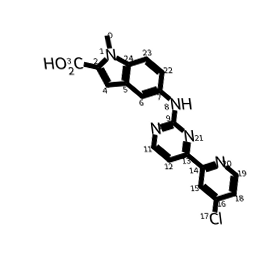 Cn1c(C(=O)O)cc2cc(Nc3nccc(-c4cc(Cl)ccn4)n3)ccc21